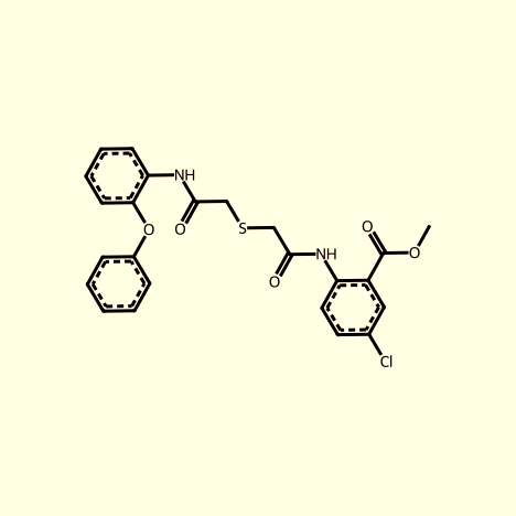 COC(=O)c1cc(Cl)ccc1NC(=O)CSCC(=O)Nc1ccccc1Oc1ccccc1